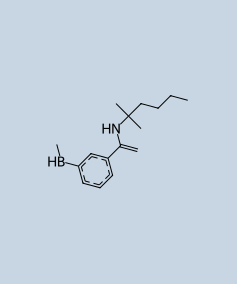 C=C(NC(C)(C)CCCC)c1cccc(BC)c1